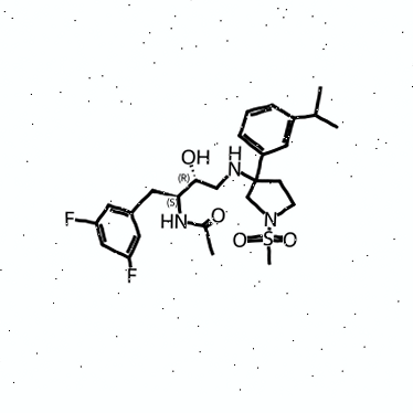 CC(=O)N[C@@H](Cc1cc(F)cc(F)c1)[C@H](O)CNC1(c2cccc(C(C)C)c2)CCN(S(C)(=O)=O)C1